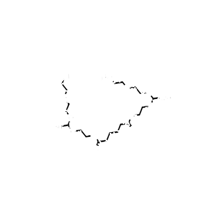 CC(C)(C)C(OCCOCCO)OCCOC(=O)CCCCC(=O)OCCOC(OCCOCCO)C(C)(C)C